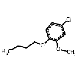 CCCCOc1ccc(Cl)cc1OC